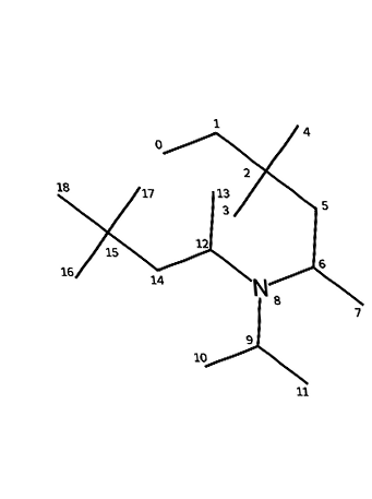 CCC(C)(C)CC(C)N(C(C)C)C(C)CC(C)(C)C